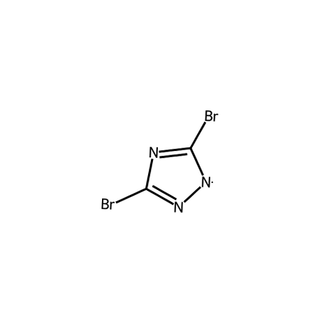 BrC1=NC(Br)=N[N]1